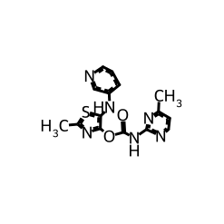 Cc1ccnc(NC(=O)Oc2nc(C)sc2Nc2cccnc2)n1